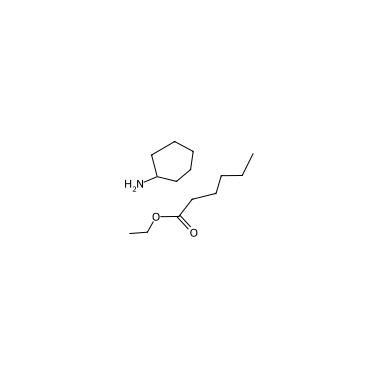 CCCCCC(=O)OCC.NC1CCCCC1